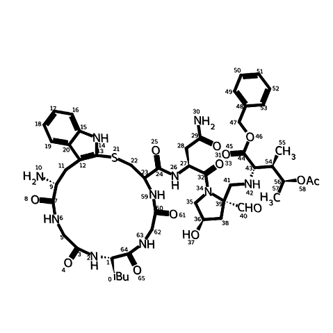 CC[C@H](C)[C@@H]1NC(=O)CNC(=O)[C@H](N)Cc2c([nH]c3ccccc23)SCC(C(=O)N[C@@H](CC(N)=O)C(=O)N2C[C@H](O)C[C@]2(C=O)CN[C@H](C(=O)OCc2ccccc2)[C@@H](C)[C@H](C)OC(C)=O)NC(=O)CNC1=O